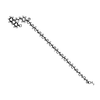 COCCOCCOCCOCCOCCOCCOCCOCCOCCOCCOCCOCCOCCOCCOCCOCCOC(=O)N1CCN(CCCN2c3ccccc3Sc3ccc(Cl)cc32)CC1